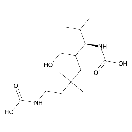 CC(C)[C@@H](NC(=O)O)C(CO)CC(C)(C)CCNC(=O)O